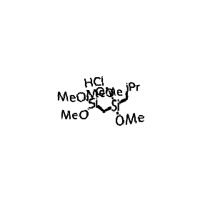 CO[Si](CC(C)C)(C[Si](OC)(OC)OC)OC.Cl